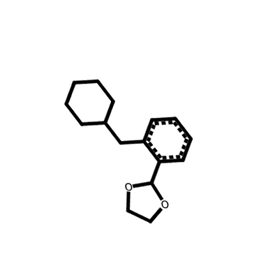 c1ccc(C2OCCO2)c(CC2CCCCC2)c1